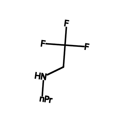 CCCNCC(F)(F)F